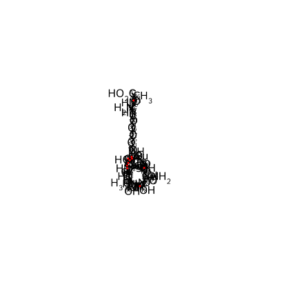 CC[C@H](C)[C@@H]1NC(=O)CCNC(=O)[C@@H]2Cc3c([nH]c4c(CSCCOCCOCCOCCOCCOCCN/C=C(\N)CNC(=O)CC(C)C(=O)O)c(O)ccc34)[S+]([O-])C[C@@H](NC(=O)CNC1=O)C(=O)N[C@@H](CCC(N)=O)C(=O)N1C[C@H](O)C[C@H]1C(=O)N[C@@H]([C@@H](C)[C@@H](O)CO)C(=O)N2